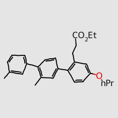 CCCOc1ccc(-c2ccc(-c3cccc(C)c3)c(C)c2)c(CCC(=O)OCC)c1